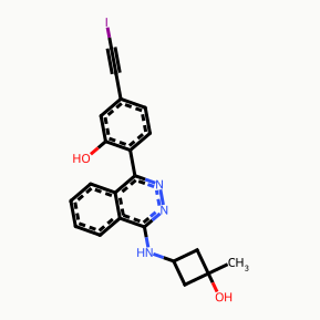 CC1(O)CC(Nc2nnc(-c3ccc(C#CI)cc3O)c3ccccc23)C1